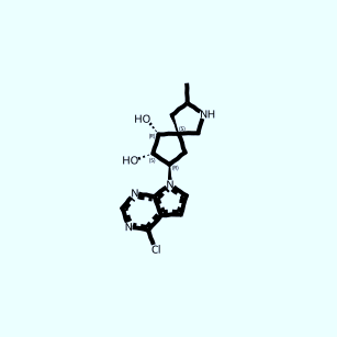 CC1C[C@@]2(CN1)C[C@@H](n1ccc3c(Cl)ncnc31)[C@H](O)[C@@H]2O